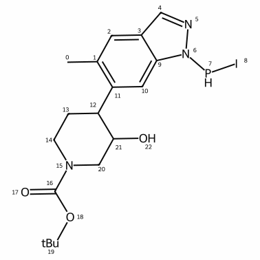 Cc1cc2cnn(PI)c2cc1C1CCN(C(=O)OC(C)(C)C)CC1O